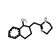 CC1c2ccccc2CCC1CC1=NCCCN1